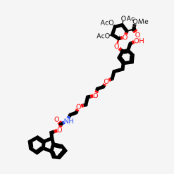 COC(=O)[C@H]1O[C@@H](Oc2cc(CCCOCCOCCOCCNC(=O)OCC3c4ccccc4-c4ccccc43)ccc2CO)[C@H](OC(C)=O)[C@@H](OC(C)=O)[C@@H]1OC(C)=O